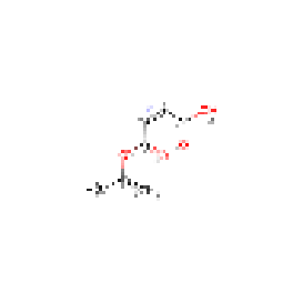 C=C(C)OC(=O)/C=C\C(=O)O